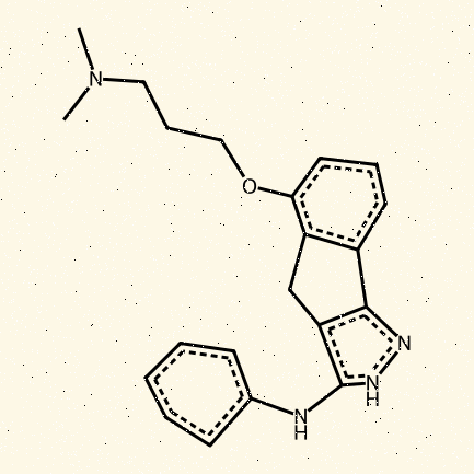 CN(C)CCCOc1cccc2c1Cc1c-2n[nH]c1Nc1ccccc1